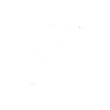 O=[N+]([O-])c1ccc(-c2c(Cl)ccc(Sc3ccc(Cl)c(-c4ccc([N+](=O)[O-])cc4Cl)c3Cl)c2Cl)c(Cl)c1